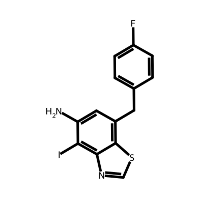 Nc1cc(Cc2ccc(F)cc2)c2scnc2c1I